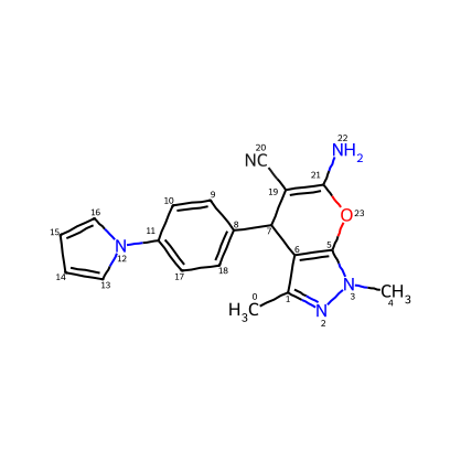 Cc1nn(C)c2c1C(c1ccc(-n3cccc3)cc1)C(C#N)=C(N)O2